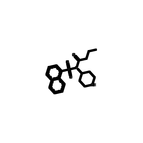 CCCC(=O)N(C1CCNCC1)S(=O)(=O)c1cccc2ccccc12